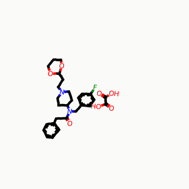 O=C(Cc1ccccc1)N(Cc1ccc(F)cc1)C1CCN(CCC2OCCCO2)CC1.O=C(O)C(=O)O